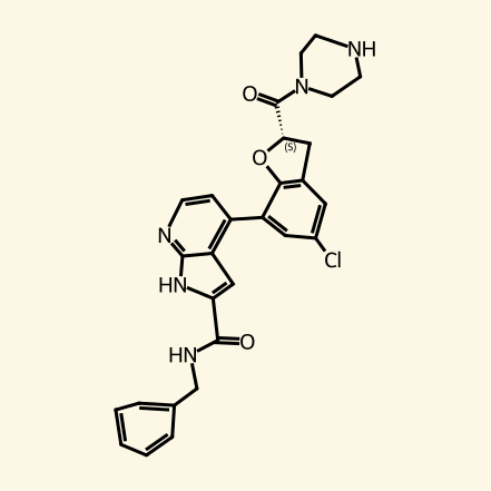 O=C(NCc1ccccc1)c1cc2c(-c3cc(Cl)cc4c3O[C@H](C(=O)N3CCNCC3)C4)ccnc2[nH]1